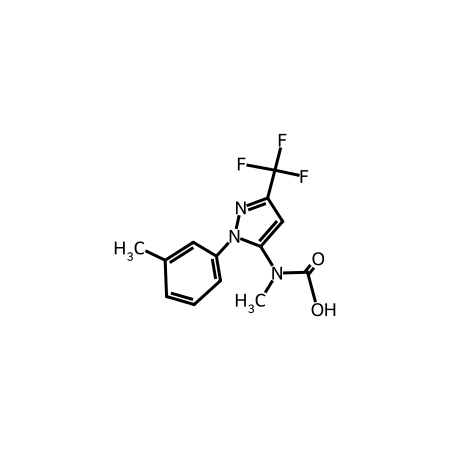 Cc1cccc(-n2nc(C(F)(F)F)cc2N(C)C(=O)O)c1